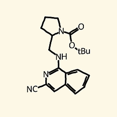 CC(C)(C)OC(=O)N1CCCC1CNc1nc(C#N)cc2ccccc12